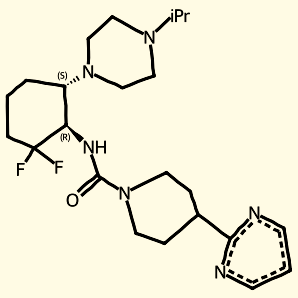 CC(C)N1CCN([C@H]2CCCC(F)(F)[C@@H]2NC(=O)N2CCC(c3ncccn3)CC2)CC1